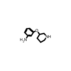 Nc1cccc(OC2CCCNC2)c1